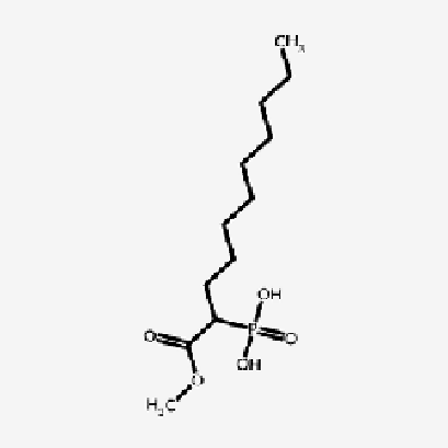 CCCCCCCCCC(C(=O)OC)P(=O)(O)O